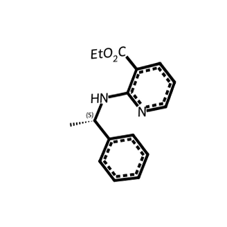 CCOC(=O)c1cccnc1N[C@@H](C)c1ccccc1